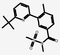 Cc1ccc(C(=O)N(C)S(C)(=O)=O)cc1-c1cccc(C(C)(C)C)n1